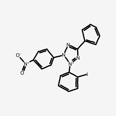 O=[N+]([O-])c1ccc(-n2nc(-c3ccccc3)n[n+]2-c2ccccc2I)cc1